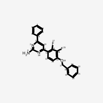 Nc1nc(-c2ccccc2)cc(-c2ccc(OCc3ccccc3)c(F)c2F)n1